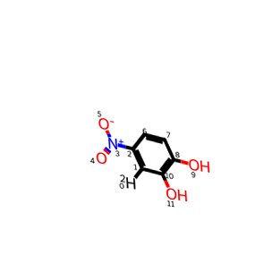 [2H]c1c([N+](=O)[O-])ccc(O)c1O